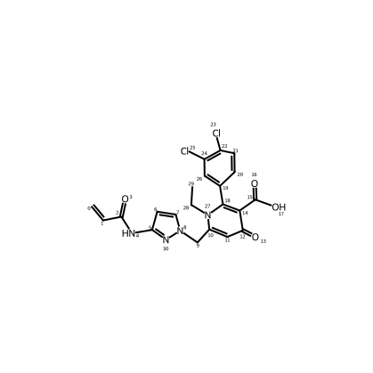 C=CC(=O)Nc1ccn(Cc2cc(=O)c(C(=O)O)c(-c3ccc(Cl)c(Cl)c3)n2CC)n1